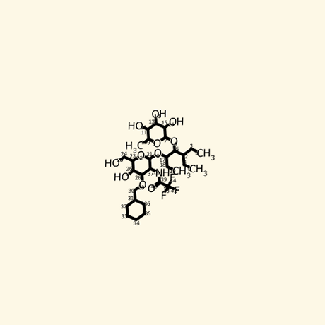 CCC(CC)C(OC1OC(C)C(O)C(O)C1O)C(CC)OC1OC(CO)C(O)C(OCC2CCCCC2)C1NC(=O)C(F)(F)F